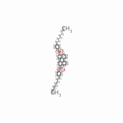 CCCCCCCCCc1ccc(OC(=O)c2ccc3c4ccc(C(=O)Oc5ccc(CCCCCCCCC)cc5)c5cccc(c6cccc2c63)c54)cc1